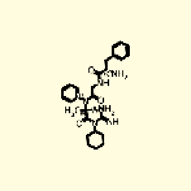 CC(=O)[C@](C)(C(=O)N(C(=N)N)C1CCCCC1)N(C(=O)CNC(=O)[C@@H](N)Cc1ccccc1)[n+]1ccccc1